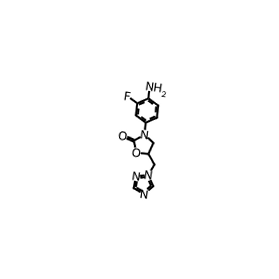 Nc1ccc(N2CC(Cn3cncn3)OC2=O)cc1F